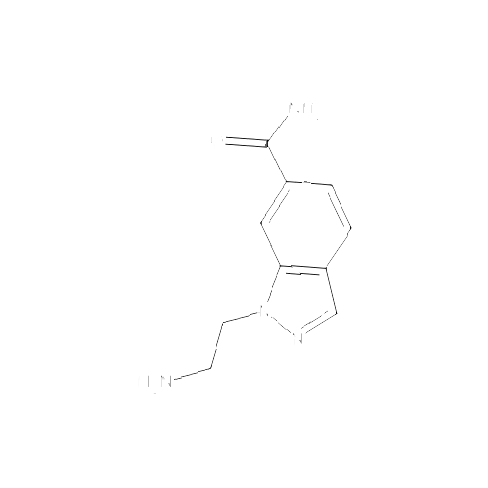 NCCn1ncc2ccc(C(N)=O)cc21